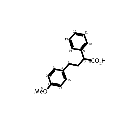 COc1ccc(CCC(C(=O)O)c2ccccc2)cc1